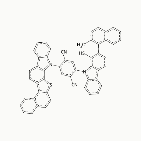 Cc1ccc2ccccc2c1-c1ccc2c3ccccc3n(-c3cc(C#N)c(-n4c5ccccc5c5ccc6c(sc7ccc8ccccc8c76)c54)cc3C#N)c2c1S